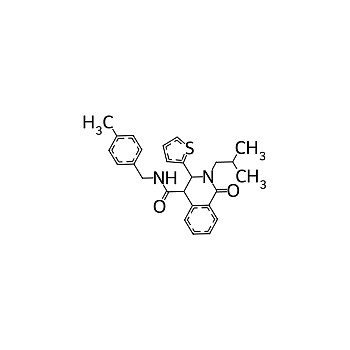 Cc1ccc(CNC(=O)C2c3ccccc3C(=O)N(CC(C)C)C2c2cccs2)cc1